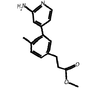 COC(=O)CCc1ccc(C)c(-c2ccnc(N)c2)c1